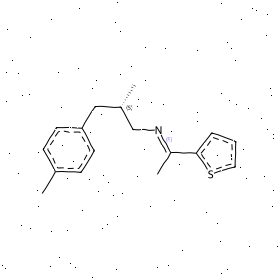 C/C(=N\C[C@@H](C)Cc1ccc(C)cc1)c1cccs1